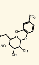 O=[N+]([O-])c1ccc(O[C@@H]2OC(CS)[C@@H](O)[C@H](O)C2O)c(Cl)c1